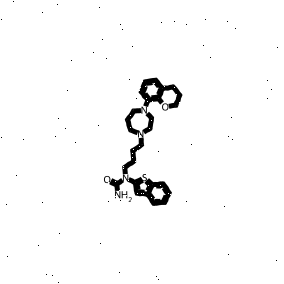 NC(=O)N(CCCCN1CCCN(c2cccc3c2OCCC3)CC1)c1cc2ccccc2s1